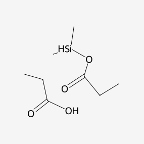 CCC(=O)O.CCC(=O)O[SiH](C)C